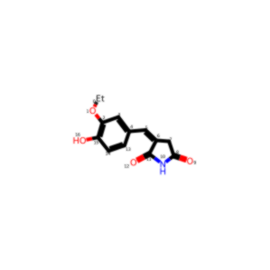 CCOc1cc(C=C2CC(=O)NC2=O)ccc1O